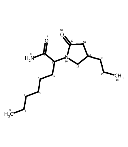 CCCCCCC(C(N)=O)N1CC(CCC)CC1=O